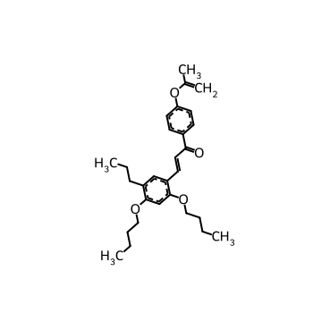 C=C(C)Oc1ccc(C(=O)C=Cc2cc(CCC)c(OCCCC)cc2OCCCC)cc1